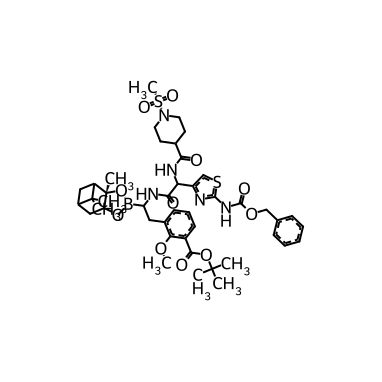 COc1c(CC(NC(=O)C(NC(=O)C2CCN(S(C)(=O)=O)CC2)c2csc(NC(=O)OCc3ccccc3)n2)B2OC3CC4CC(C4(C)C)[C@]3(C)O2)cccc1C(=O)OC(C)(C)C